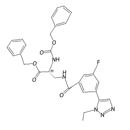 CCn1nncc1-c1cc(F)cc(C(=O)NC[C@@H](NC(=O)OCc2ccccc2)C(=O)OCc2ccccc2)c1